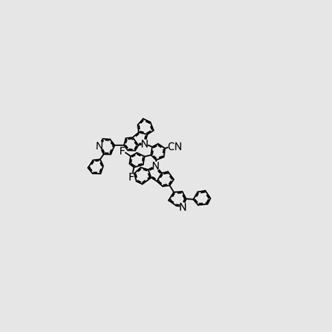 N#Cc1cc(-n2c3ccccc3c3cc(-c4ccnc(-c5ccccc5)c4)ccc32)c(-c2cc(F)cc(F)c2)c(-n2c3ccccc3c3cc(-c4ccnc(-c5ccccc5)c4)ccc32)c1